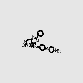 CCN1CCN(c2ccc(Nc3nc(-c4ccccc4)nc(/C=N\NC)c3C=O)cc2)CC1